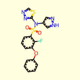 O=S(=O)(c1cccc(Oc2ccccc2)c1F)N(c1cn[nH]c1)c1nncs1